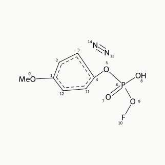 COc1ccc(OP(=O)(O)OF)cc1.N#N